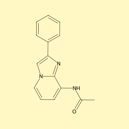 CC(=O)Nc1cccn2cc(-c3ccccc3)nc12